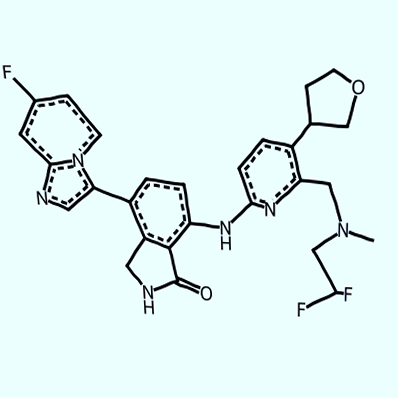 CN(Cc1nc(Nc2ccc(-c3cnc4cc(F)ccn34)c3c2C(=O)NC3)ccc1C1CCOC1)CC(F)F